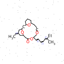 C/C=C1\CC2CC(=O)OC(/C=C/C=C\C=C(/C)CC)COCCCC3CCCC(CC(C1)O2)O3